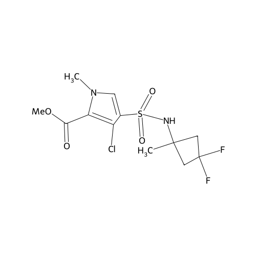 COC(=O)c1c(Cl)c(S(=O)(=O)NC2(C)CC(F)(F)C2)cn1C